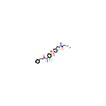 C=CC(=O)NC1CC2CN(S(=O)(=O)c3ccc(NC(=O)CCc4ccccc4)c(Cl)c3)CC2S1